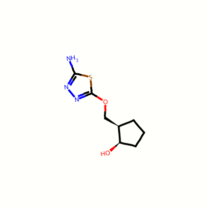 Nc1nnc(OC[C@H]2CCC[C@H]2O)s1